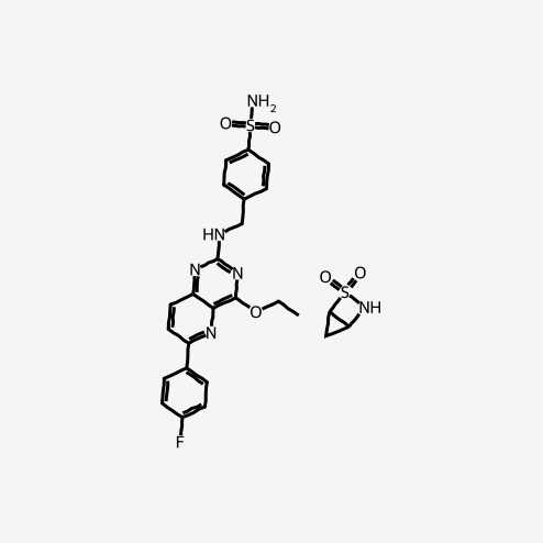 CCOc1nc(NCc2ccc(S(N)(=O)=O)cc2)nc2ccc(-c3ccc(F)cc3)nc12.O=S1(=O)NC2CC21